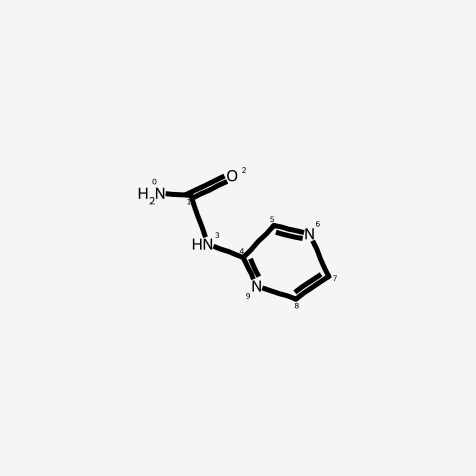 NC(=O)Nc1cnccn1